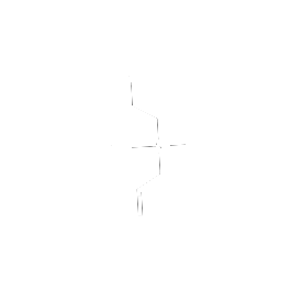 C=CC[N+](C)(C)CCS.[Cl-]